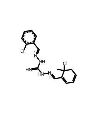 CC1(Cl)CC=CC=C1/C=N/NC(=N)N/N=C/c1ccccc1Cl